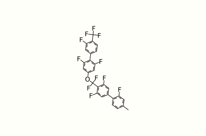 Cc1ccc(-c2cc(F)c(C(F)(F)Oc3cc(F)c(-c4ccc(C(F)(F)F)c(F)c4)c(F)c3)c(F)c2)c(F)c1